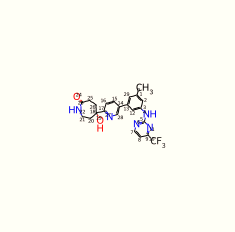 Cc1cc(Nc2nccc(C(F)(F)F)n2)cc(-c2ccc(C3(O)CCNC(=O)CC3)nc2)c1